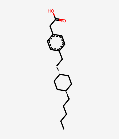 CCCCC[C@H]1CC[C@H](CCc2ccc(CC(=O)O)cc2)CC1